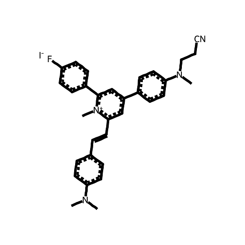 CN(C)c1ccc(/C=C/c2cc(-c3ccc(N(C)CCC#N)cc3)cc(-c3ccc(F)cc3)[n+]2C)cc1.[I-]